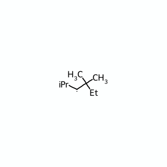 CCC(C)(C)[CH]C(C)C